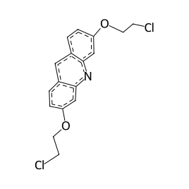 ClCCOc1ccc2cc3ccc(OCCCl)cc3nc2c1